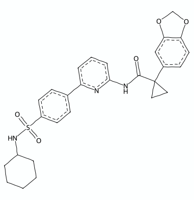 O=C(Nc1cccc(-c2ccc(S(=O)(=O)NC3CCCCC3)cc2)n1)C1(c2ccc3c(c2)OCO3)CC1